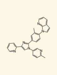 Cc1ccc(-n2cc(-c3ccccn3)nc2-c2ccc(-n3ccc4cccnc43)c(C)c2)cn1